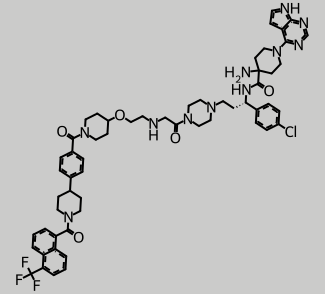 NC1(C(=O)N[C@@H](CCN2CCN(C(=O)CNCCOC3CCN(C(=O)c4ccc(C5CCN(C(=O)c6cccc7c(C(F)(F)F)cccc67)CC5)cc4)CC3)CC2)c2ccc(Cl)cc2)CCN(c2ncnc3[nH]ccc23)CC1